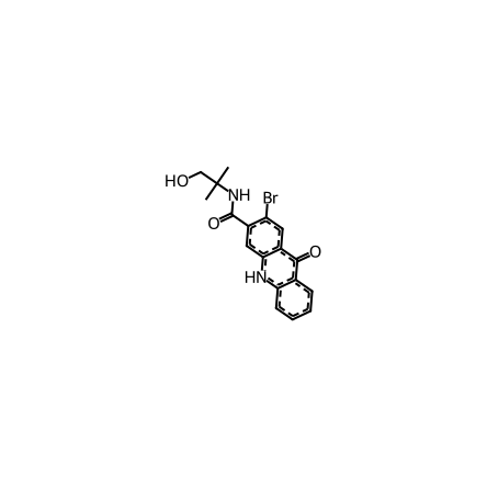 CC(C)(CO)NC(=O)c1cc2[nH]c3ccccc3c(=O)c2cc1Br